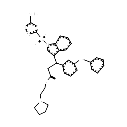 CC(=O)Nc1nnc(S(=O)(=O)n2cc(C(CC(=O)NCCN3CCCC3)c3cccc(Oc4ccccc4)c3)c3ccccc32)s1